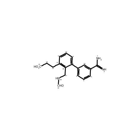 N=C(N)c1cccc(-c2cccc(CCC(=O)O)c2CNC=O)c1